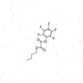 CCCCOC(=O)C(=O)Oc1c(F)c(F)c(F)c(F)c1F